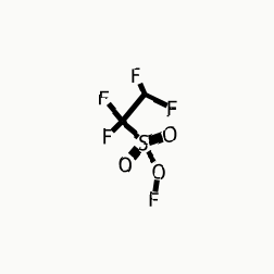 O=S(=O)(OF)C(F)(F)C(F)F